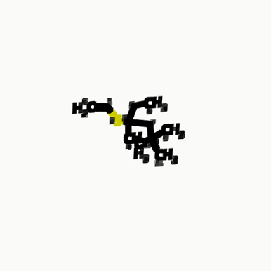 C=CSC(C)(CC)CC(C)(C)C